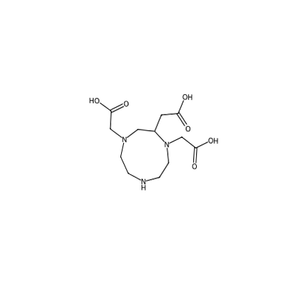 O=C(O)CC1CN(CC(=O)O)CCNCCN1CC(=O)O